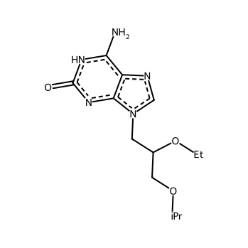 CCOC(COC(C)C)Cn1cnc2c(N)[nH]c(=O)nc21